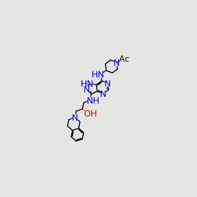 CC(=O)N1CCC(Nc2ncnc3c(NC[C@H](O)CN4CCc5ccccc5C4)n[nH]c23)CC1